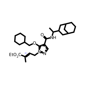 CCOC(=O)/C(C)=C/Cn1ncc(C(=O)NC(C)C2CC3CCCC(C3)C2)c1OCC1CCCCC1